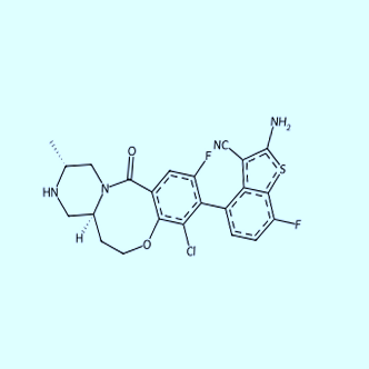 C[C@@H]1CN2C(=O)c3cc(F)c(-c4ccc(F)c5sc(N)c(C#N)c45)c(Cl)c3OCC[C@H]2CN1